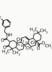 COC(=O)[C@]12CCC(C)(C)CC1C1=CCC3[C@@]4(C)CC(C(=O)NCc5cccc(F)c5)C(=O)C(C)(C)C4CC[C@@]3(C)[C@]1(C)CC2